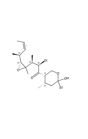 C/C=C\[C@H](C)[C@H]1OC1(C)[C@@H](C)[C@@H](CC)C(=O)[C@@H]1COC(O)(CC)C[C@@H]1C